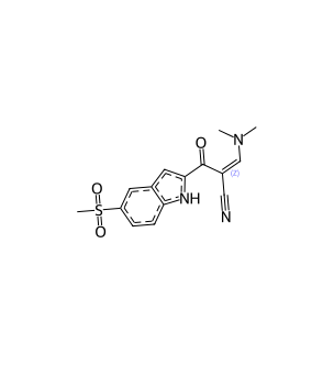 CN(C)/C=C(/C#N)C(=O)c1cc2cc(S(C)(=O)=O)ccc2[nH]1